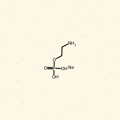 NCCOP(=O)(O)O.[Na]